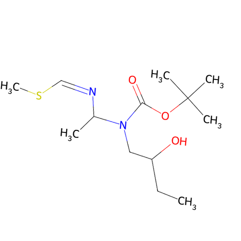 CCC(O)CN(C(=O)OC(C)(C)C)C(C)/N=C\SC